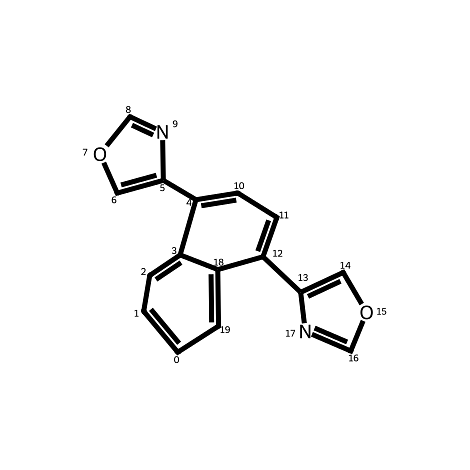 c1ccc2c(-c3cocn3)ccc(-c3cocn3)c2c1